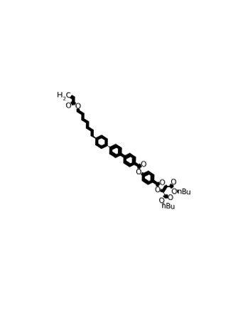 C=CC(=O)OCCCCCCC[C@H]1CC[C@H](c2ccc(-c3ccc(C(=O)Oc4ccc(C5O[C@@H](C(=O)OCCCC)[C@H](C(=O)OCCCC)O5)cc4)cc3)cc2)CC1